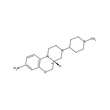 CN1CCC(N2CCN3c4ccc(N)cc4OC[C@H]3C2)CC1